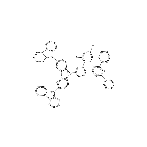 Fc1ccc(-c2cc(-n3c4ccc(N5c6ccccc6C6C=CC=CC65)cc4c4cc(-n5c6ccccc6c6ccccc65)ccc43)ccc2-c2nc(-c3ccccc3)nc(-c3ccccc3)n2)c(F)c1